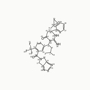 CC(C)CC(c1ccc(C(F)(F)F)c(C(=O)N2Cc3nccnc3C2)c1)N1C(=N)N[C@](CC2CC2)(c2ccccc2)CC1=O